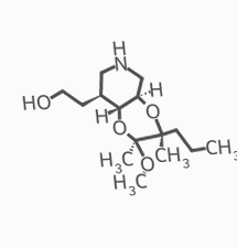 CCC[C@@]1(C)O[C@@H]2CNC[C@H](CCO)[C@H]2O[C@]1(C)OC